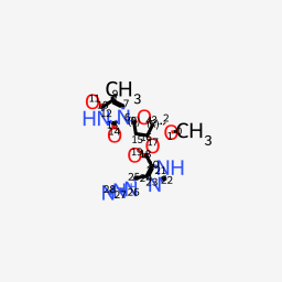 COC[C@H]1O[C@@H](n2cc(C)c(=O)[nH]c2=O)CC1OC(=O)c1[nH]cnc1CN=[N+]=[N-]